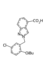 CC(C)COc1ccc(Cl)cc1Cn1cc2c(C(=O)O)cccc2n1